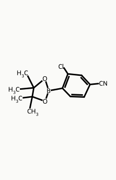 CC1(C)OB(c2ccc(C#N)cc2Cl)OC1(C)C